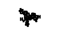 CC(C)C[C@H](NC(=O)[C@H](Cc1ccc(OC(C)(C)C)cc1)NC(=O)[C@@H](N)COC(C)(C)C)C(=O)O